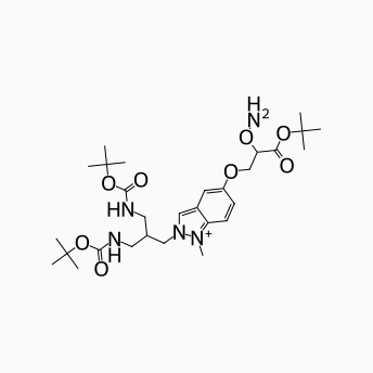 C[n+]1c2ccc(OCC(ON)C(=O)OC(C)(C)C)cc2cn1CC(CNC(=O)OC(C)(C)C)CNC(=O)OC(C)(C)C